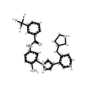 Cc1ccc(NC(=O)c2cccc(C(F)(F)F)c2)cc1-n1cc(-c2cnccc2CC2CCOC2)cn1